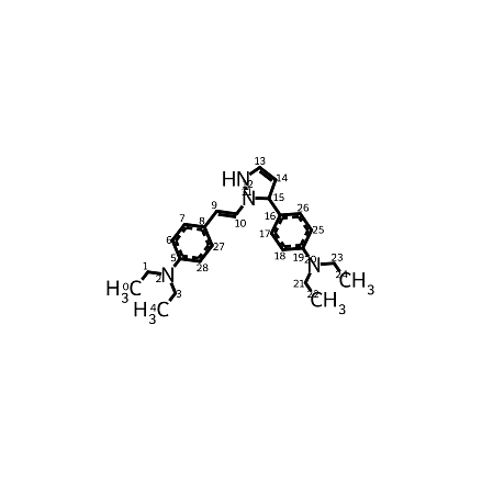 CCN(CC)c1ccc(C=CN2NC=CC2c2ccc(N(CC)CC)cc2)cc1